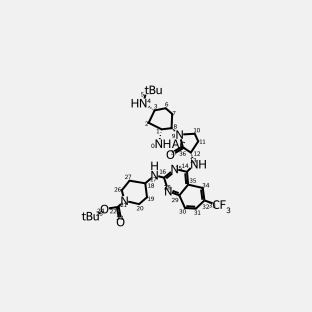 CC(=O)N[C@@H]1C[C@H](NC(C)(C)C)CC[C@@H]1N1CC[C@H](Nc2nc(NC3CCN(C(=O)OC(C)(C)C)CC3)nc3ccc(C(F)(F)F)cc23)C1=O